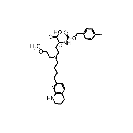 COCCN(CCCCc1ccc2c(n1)NCCC2)CC[C@H](NC(=O)OCc1ccc(F)cc1)C(=O)O